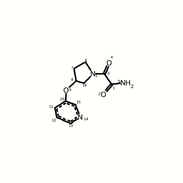 NC(=O)C(=O)N1CCC(Oc2cccnc2)C1